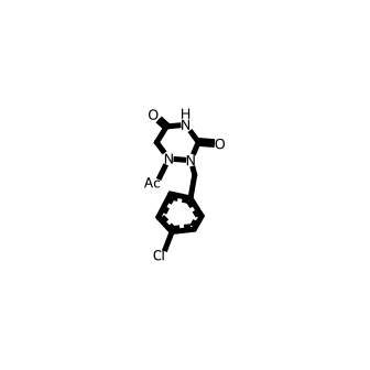 CC(=O)N1CC(=O)NC(=O)N1Cc1ccc(Cl)cc1